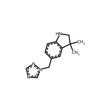 CC1(C)CNc2ccc(Cn3cncn3)cc21